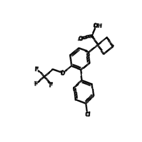 O=C(O)C1(c2ccc(OCC(F)(F)F)c(-c3ccc(Cl)cc3)c2)CCC1